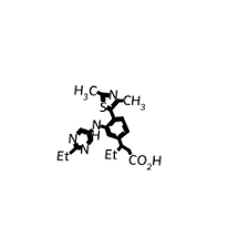 CCc1ncc(Nc2cc(C(CC)CC(=O)O)ccc2-c2sc(C)nc2C)cn1